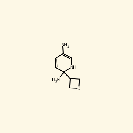 NC1=CNC(N)(C2COC2)C=C1